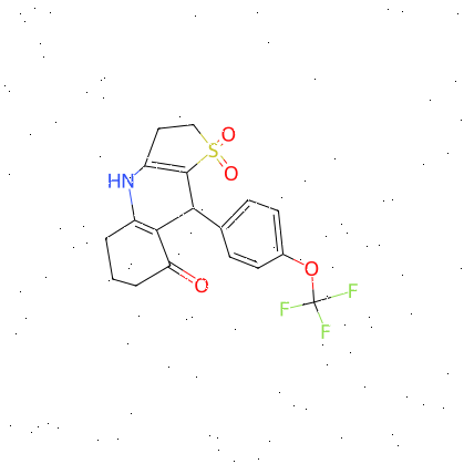 O=C1CCCC2=C1C(c1ccc(OC(F)(F)F)cc1)C1=C(CCS1(=O)=O)N2